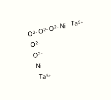 [Ni].[Ni].[O-2].[O-2].[O-2].[O-2].[O-2].[Ta+5].[Ta+5]